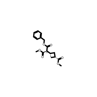 COC(=O)[C@@H](C(=O)OCc1ccccc1)[C@H]1C[C@@H](C(=O)OC)C1